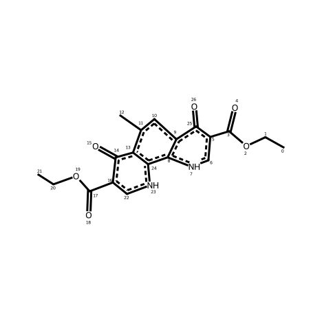 CCOC(=O)c1c[nH]c2c(cc(C)c3c(=O)c(C(=O)OCC)c[nH]c32)c1=O